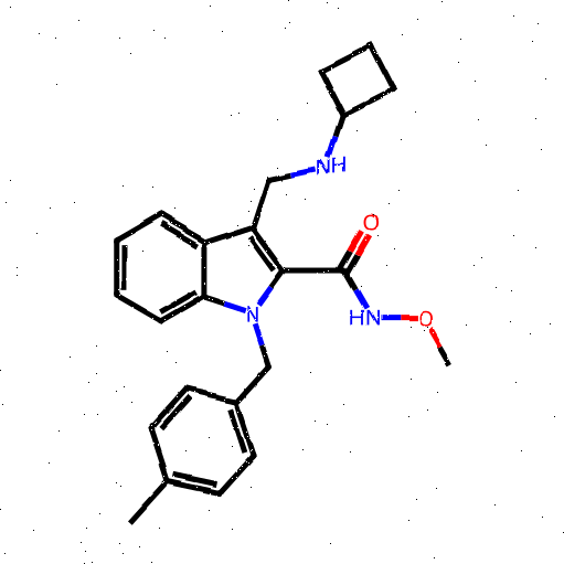 CONC(=O)c1c(CNC2CCC2)c2ccccc2n1Cc1ccc(C)cc1